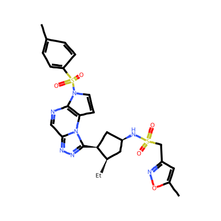 CC[C@@H]1C[C@H](NS(=O)(=O)Cc2cc(C)on2)C[C@@H]1c1nnc2cnc3c(ccn3S(=O)(=O)c3ccc(C)cc3)n12